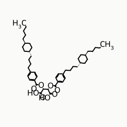 CCCCC[C@H]1CC[C@H](CCCCc2ccc(C(=O)O[C@@H](C(=O)O)[C@@H](OC(=O)c3ccc(CCCC[C@H]4CC[C@H](CCCCC)CC4)cc3)C(=O)O)cc2)CC1